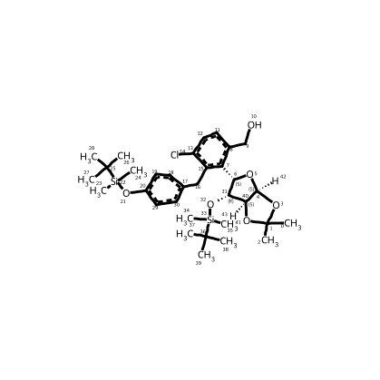 CC1(C)O[C@@H]2O[C@@H](c3c(CO)ccc(Cl)c3Cc3ccc(O[Si](C)(C)C(C)(C)C)cc3)[C@@H](O[Si](C)(C)C(C)(C)C)[C@@H]2O1